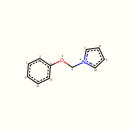 c1ccc(OCn2cccc2)cc1